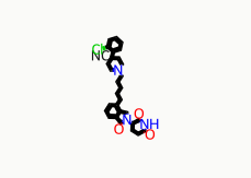 N#CC1(c2ccccc2Cl)CCN(CCCCCc2cccc3c2CN(C2CCC(=O)NC2=O)C3=O)CC1